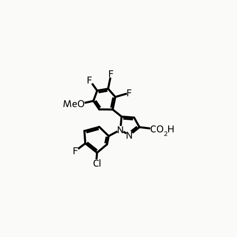 COc1cc(-c2cc(C(=O)O)nn2-c2ccc(F)c(Cl)c2)c(F)c(F)c1F